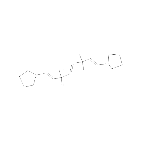 CC(C)(C=NN1CCCC1)N=NC(C)(C)C=NN1CCCC1.Cl